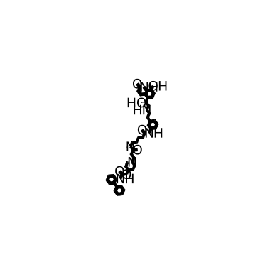 CN(CCCCC(=O)Nc1cccc(CCNC[C@H](O)c2ccc(O)c3[nH]c(=O)ccc23)c1)C(=O)CCN1CCC(OC(=O)Nc2ccccc2-c2ccccc2)CC1